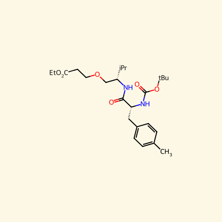 CCOC(=O)CCOC[C@@H](NC(=O)[C@@H](Cc1ccc(C)cc1)NC(=O)OC(C)(C)C)C(C)C